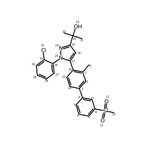 Cc1cc(-c2cccc(S(C)(=O)=O)c2)ccc1-c1cc(C(C)(C)O)nn1-c1ccccc1Cl